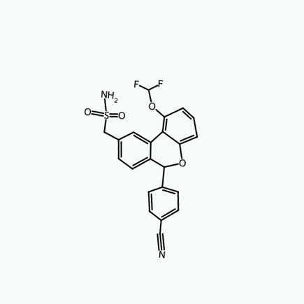 N#Cc1ccc(C2Oc3cccc(OC(F)F)c3-c3cc(CS(N)(=O)=O)ccc32)cc1